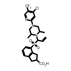 C=CC(N1C(C)CN(c2cc(Cl)c(C(F)(F)F)cn2)CC1C)S(=O)(=O)c1cccc2c1CC(C(=O)O)C2